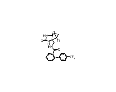 O=C1NC(=O)[C@](CNC(=O)c2ccccc2-c2ccc(C(F)(F)F)cc2)(C2(Cl)CC2)N1